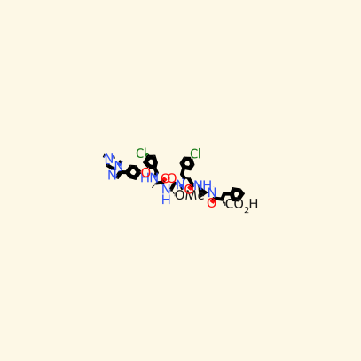 COC[C@H](NC(=O)[C@H](C)NCc1ccc(Cl)cc1Oc1ccc(-c2cnc(CN(C)C)n2C)cc1)C(=O)N(C)[C@H](CC(=O)N[C@@H]1C[C@@H]1N(C)C(=O)[C@@H](CC(=O)O)Cc1ccccc1)Cc1ccc(Cl)cc1